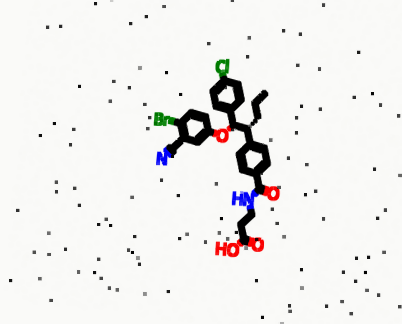 CCC[C@H](c1ccc(C(=O)NCCC(=O)O)cc1)[C@@H](Oc1ccc(Br)c(C#N)c1)c1ccc(Cl)cc1